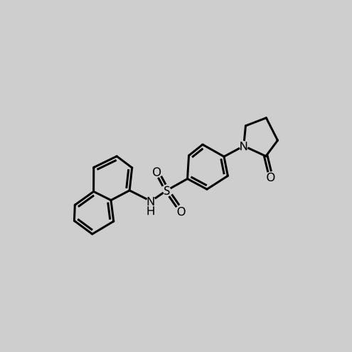 O=C1CCCN1c1ccc(S(=O)(=O)Nc2cccc3ccccc23)cc1